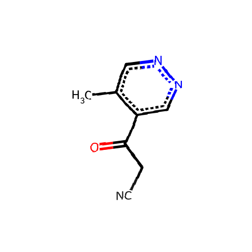 Cc1cnncc1C(=O)CC#N